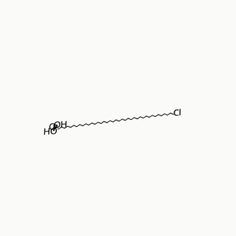 O=P(O)(O)CCCCCCCCCCCCCCCCCCCCCCCCCCCCCCCCCCCCCCCCl